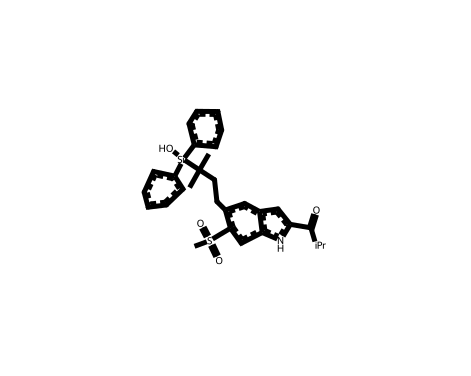 CC(C)C(=O)c1cc2cc(CCC(C)(C)[Si](O)(c3ccccc3)c3ccccc3)c(S(C)(=O)=O)cc2[nH]1